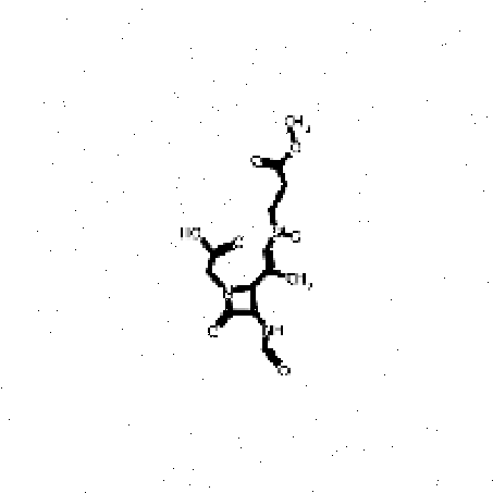 COC(=O)CC[S+]([O-])C=C(C)C1C(NC=O)C(=O)N1CC(=O)O